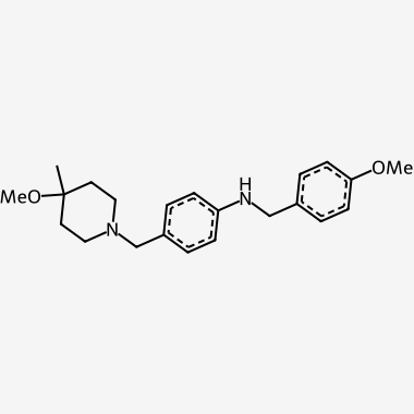 COc1ccc(CNc2ccc(CN3CCC(C)(OC)CC3)cc2)cc1